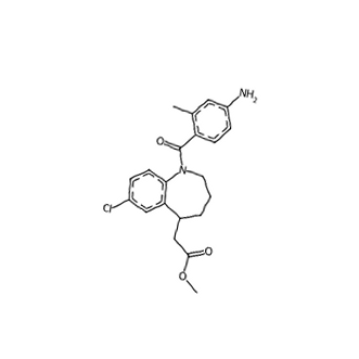 COC(=O)CC1CCCN(C(=O)c2ccc(N)cc2C)c2ccc(Cl)cc21